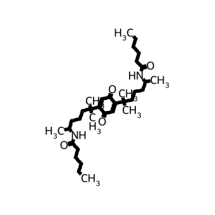 CCCCCC(=O)NC(C)CCCC(C)(C)C1=CC(=O)C(C(C)(C)CCCC(C)NC(=O)CCCCC)=CC1=O